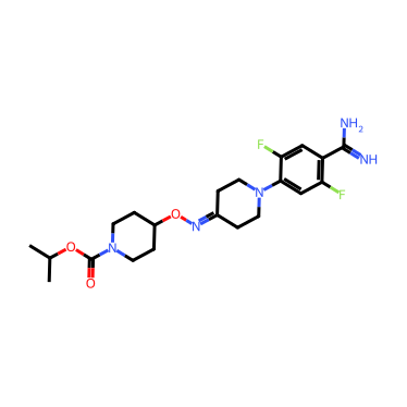 CC(C)OC(=O)N1CCC(ON=C2CCN(c3cc(F)c(C(=N)N)cc3F)CC2)CC1